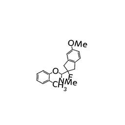 CNC(Oc1ccccc1C)C1(F)Cc2ccc(OC)cc2C1